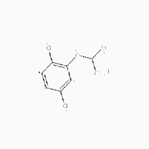 CCC(Oc1cc(Cl)ccc1Cl)C(=O)O